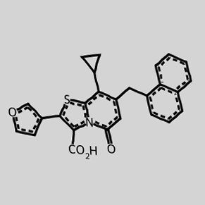 O=C(O)c1c(-c2ccoc2)sc2c(C3CC3)c(Cc3cccc4ccccc34)cc(=O)n12